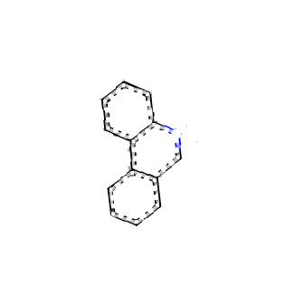 [KH].c1ccc2c(c1)cnc1ccccc12